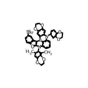 Cc1cc2c(c(C)c1N1c3cccc4c3B(c3cc5c(cc3N4c3ccc4c(c3)OCCO4)OCCO5)c3c1oc1ccc(C(C)(C)C)cc31)OCCO2